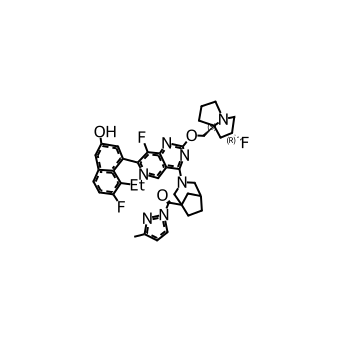 CCc1c(F)ccc2cc(O)cc(-c3ncc4c(N5CC6CCC(C(=O)n7ccc(C)n7)(C6)C5)nc(OC[C@@]56CCCN5C[C@H](F)C6)nc4c3F)c12